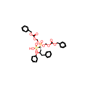 O=C(OCOP(=O)(OCOC(=O)OCc1ccccc1)[C@H](CC(Cc1ccccc1)Oc1ccccc1)S(=O)(=O)O)OCc1ccccc1